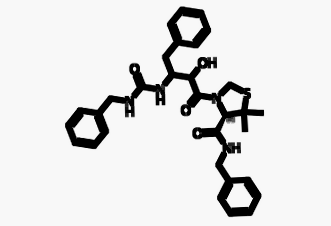 CC1(C)SCN(C(=O)C(O)C(Cc2ccccc2)NC(=O)NCc2ccccc2)[C@@H]1C(=O)NCc1ccccc1